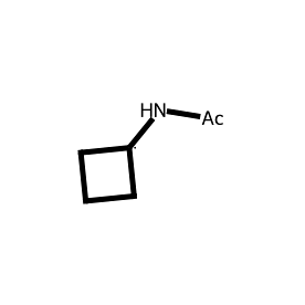 CC(=O)N[C]1CCC1